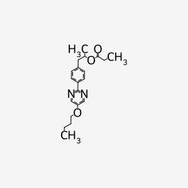 CCCCOc1cnc(-c2ccc(CC(C)OC(=O)CC)cc2)nc1